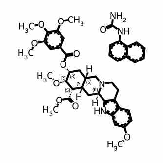 COC(=O)[C@H]1[C@H]2C[C@@H]3c4[nH]c5cc(OC)ccc5c4CCN3C[C@H]2C[C@@H](OC(=O)c2cc(OC)c(OC)c(OC)c2)[C@@H]1OC.NC(=O)Nc1cccc2ccccc12